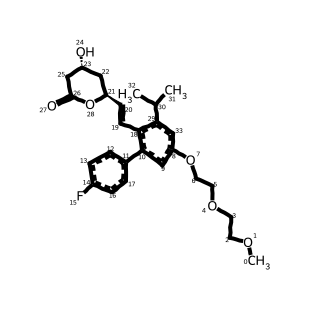 COCCOCCOc1cc(-c2ccc(F)cc2)c(/C=C/[C@@H]2C[C@@H](O)CC(=O)O2)c(C(C)C)c1